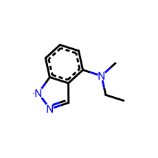 CCN(C)c1cccc2c1C=N[N]2